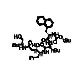 CCCC[C@H](NC(=O)[C@H](Cc1cccc2ccccc12)NC(=O)OC(C)(C)C)C(=O)N[C@@H](CC(C)C)[C@@H](O)CC(=O)N[C@H](CO)[C@@H](C)CC